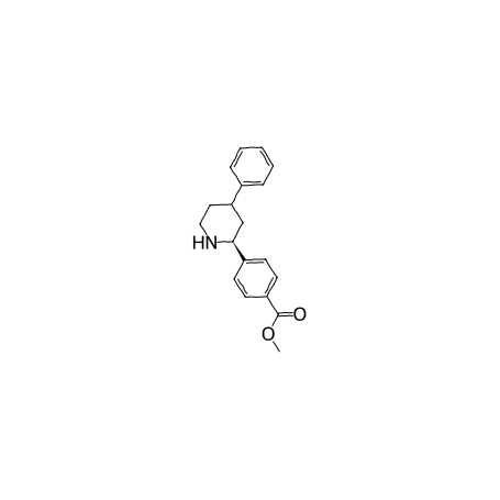 COC(=O)c1ccc([C@@H]2CC(c3ccccc3)CCN2)cc1